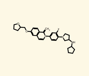 C=C1c2ccc(OCC3CCCO3)cc2C=CN1c1ccc(N2CCC(NC3CCCC3)C2)c(F)c1